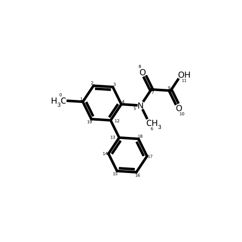 Cc1ccc(N(C)C(=O)C(=O)O)c(-c2ccccc2)c1